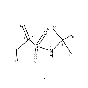 C=C(CC)S(=O)(=O)NC(C)(C)C